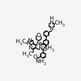 CCc1nc2c(cnn2CC)c(NC2CCOCC2)c1CN(Cc1cc(-c2cccc(CN3CCN[C@@H](C)C3)c2)ccc1C)C(=O)c1cccc(C(N)=O)c1